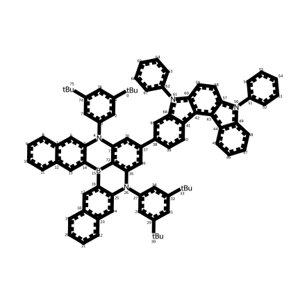 CC(C)(C)c1cc(N2c3cc4ccccc4cc3B3c4cc5ccccc5cc4N(c4cc(C(C)(C)C)cc(C(C)(C)C)c4)c4cc(-c5ccc6c7c8c9ccccc9n(-c9ccccc9)c8ccc7n(-c7ccccc7)c6c5)cc2c43)cc(C(C)(C)C)c1